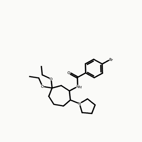 CCOC1(OCC)CCCC(N2CCCC2)C(NC(=O)c2ccc(Br)cc2)C1